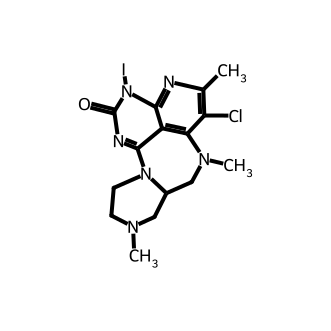 Cc1nc2c3c(nc(=O)n2I)N2CCN(C)CC2CN(C)c3c1Cl